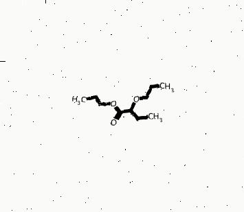 CCCOC(=O)C(CC)OCCC